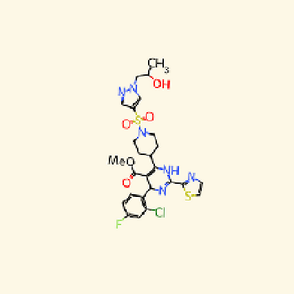 COC(=O)C1=C(C2CCN(S(=O)(=O)c3cnn(CC(C)O)c3)CC2)NC(c2nccs2)=NC1c1ccc(F)cc1Cl